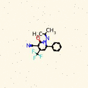 CC(C)=Nn1c(-c2ccccc2)cc(C(F)(F)F)c(C#N)c1=O